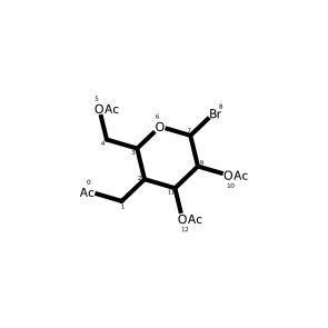 CC(=O)CC1C(COC(C)=O)OC(Br)C(OC(C)=O)C1OC(C)=O